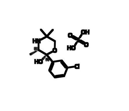 C[C@@H]1NC(C)(C)CO[C@@]1(O)c1cccc(Cl)c1.O=S(=O)(O)O